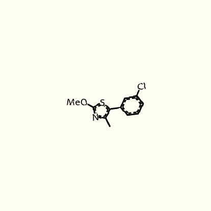 COc1nc(C)c(-c2cccc(Cl)c2)s1